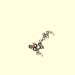 COc1ccc(CN2C3CC2CN(c2ccc(-c4cc(OCCOC5COC6C(OC)COC56)cn5ncc(C#N)c45)cn2)C3)cn1